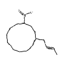 CC=CCC1CCCCCCCCC([N+](=O)[O-])CC1